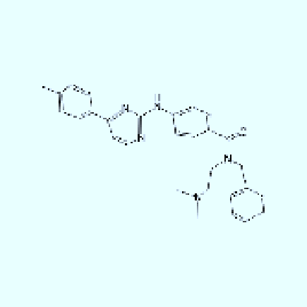 Cc1ccc(-c2ccnc(Nc3ccc(C(=O)N(CCN(C)C)Cc4ccccc4)cc3)n2)cc1